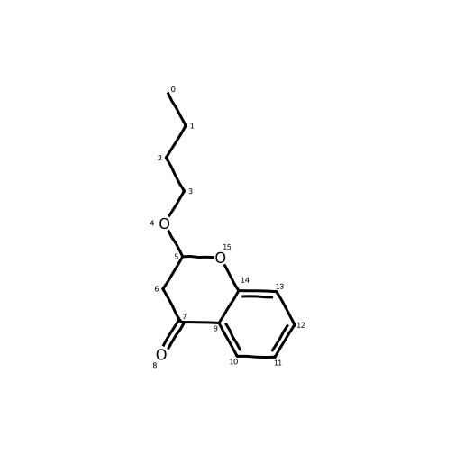 CCCCOC1CC(=O)c2ccccc2O1